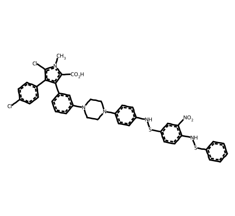 Cn1c(Cl)c(-c2ccc(Cl)cc2)c(-c2cccc(N3CCN(c4ccc(NSc5ccc(NSc6ccccc6)c([N+](=O)[O-])c5)cc4)CC3)c2)c1C(=O)O